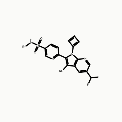 CC(C)NS(=O)(=O)c1ccc(-c2c(C#N)c3cc(C(F)F)cnc3n2C2=CC=C2)nc1